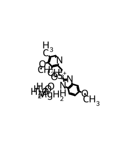 COc1ccc2[nH]c([S+]([O-])Cc3ncc(C)c(OC)c3C)nc2c1.O.O.O.[MgH2]